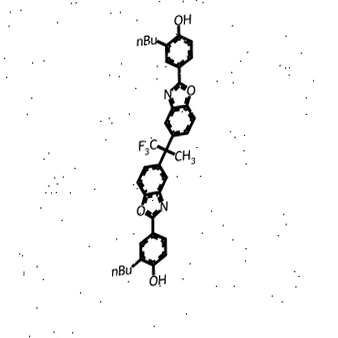 CCCCc1cc(-c2nc3cc(C(C)(c4ccc5oc(-c6ccc(O)c(CCCC)c6)nc5c4)C(F)(F)F)ccc3o2)ccc1O